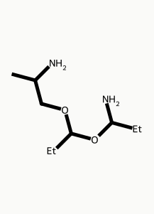 CCC(N)OC(CC)OCC(C)N